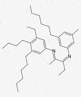 CCCCCCc1cc(C)cc(N=C(CC)C(C)=Nc2cc(CC)c(CCCC)c(CCCCCC)c2)c1